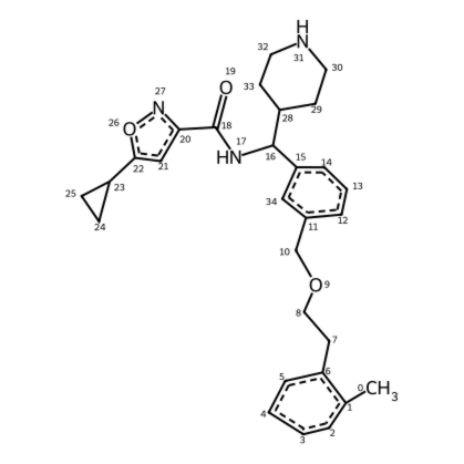 Cc1ccccc1CCOCc1cccc(C(NC(=O)c2cc(C3CC3)on2)C2CCNCC2)c1